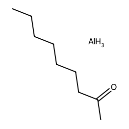 CCCCCCCC(C)=O.[AlH3]